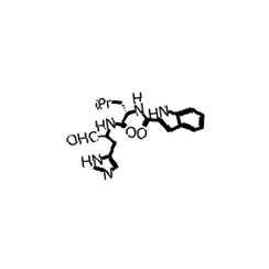 CC(C)C[C@H](NC(=O)c1cc2ccccc2[nH]1)C(=O)N[C@H](C=O)Cc1cnc[nH]1